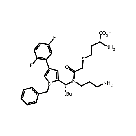 CC(C)(C)[C@H](c1cc(-c2cc(F)ccc2F)cn1Cc1ccccc1)N(CCCN)C(=O)CSCC[C@H](N)C(=O)O